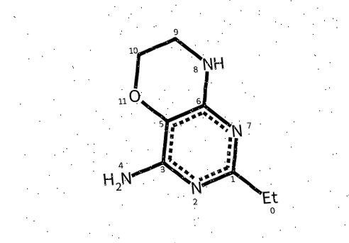 CCc1nc(N)c2c(n1)NCCO2